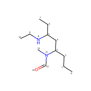 CCCC(CC(CC)NCC)N(C)C=O